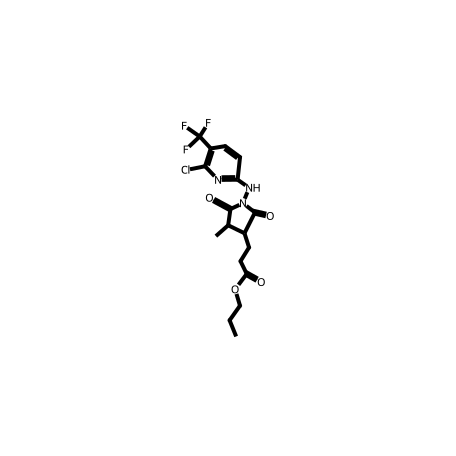 CCCOC(=O)CCC1C(=O)N(Nc2ccc(C(F)(F)F)c(Cl)n2)C(=O)C1C